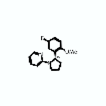 COc1ccc(F)cc1[C@H]1CCCN1c1ccccn1